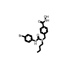 CCCCN(Cc1ccc(C(=O)NO)cc1)C(=O)Nc1ccc(Br)cc1